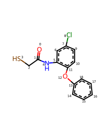 O=C(CS)Nc1cc(Cl)ccc1Oc1ccccc1